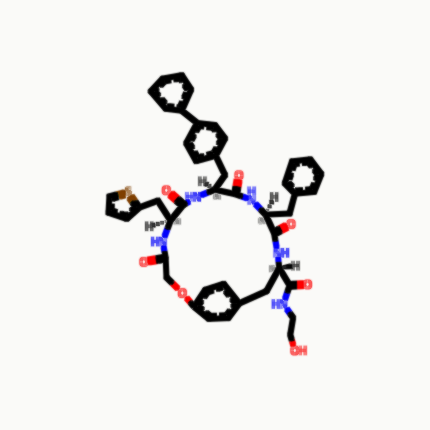 O=C1COc2ccc(cc2)C[C@@H](C(=O)NCCO)NC(=O)[C@H](Cc2ccccc2)NC(=O)[C@H](Cc2ccc(-c3ccccc3)cc2)NC(=O)[C@H](Cc2cccs2)N1